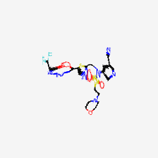 N#Cc1cncc(N(Cc2ncc(-c3nnc(C(F)F)o3)s2)S(=O)(=O)CCN2CCOCC2)c1